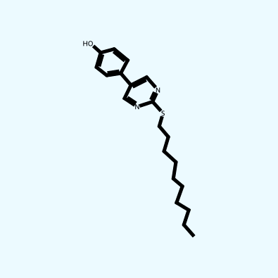 CCCCCCCCCCSc1ncc(-c2ccc(O)cc2)cn1